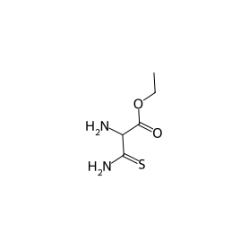 CCOC(=O)C(N)C(N)=S